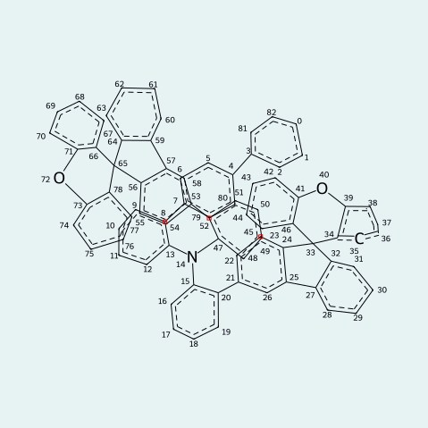 c1ccc(-c2ccc(-c3ccccc3N(c3ccccc3-c3ccc4c(c3)-c3ccccc3C43c4ccccc4Oc4ccccc43)c3ccccc3-c3ccc4c(c3)-c3ccccc3C43c4ccccc4Oc4ccccc43)cc2)cc1